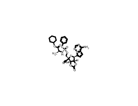 C[C@H](N[P@](=O)(OC[C@@]1(C#N)O[C@@H](c2ccc3c(N)ncnn23)[C@@H]2OC(=O)O[C@@H]21)Oc1ccccc1)C(=O)OC1CCCCC1